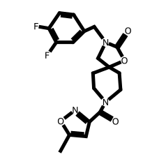 Cc1cc(C(=O)N2CCC3(CC2)CN(Cc2ccc(F)c(F)c2)C(=O)O3)no1